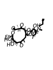 C#CCCN(C)[C@H]1C[C@@H](C)O[C@@H](O[C@@H]2[C@@H](C)C(=O)[C@@H](C)C(=O)O[C@H](CC)[C@@](C)(O)[C@H](O)[C@@H](C)C(=O)[C@H](C)C[C@@]2(C)OC)[C@@H]1O